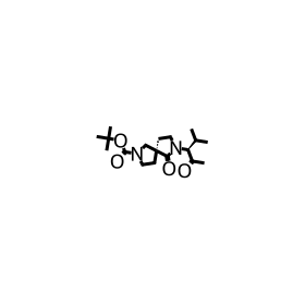 CC(=O)[C@H](C(C)C)N1CC[C@@]2(CCN(C(=O)OC(C)(C)C)C2)C1=O